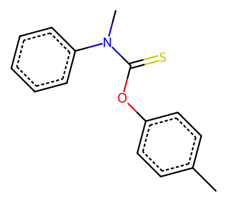 Cc1ccc(OC(=S)N(C)c2ccccc2)cc1